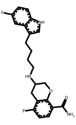 NC(=O)c1ccc(F)c2c1OCC(NCCCCc1c[nH]c3ccc(F)cc13)C2